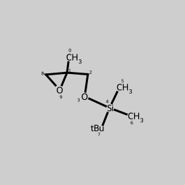 CC1(CO[Si](C)(C)C(C)(C)C)CO1